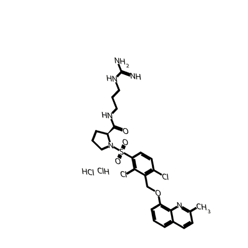 Cc1ccc2cccc(OCc3c(Cl)ccc(S(=O)(=O)N4CCC[C@H]4C(=O)NCCCNC(=N)N)c3Cl)c2n1.Cl.Cl